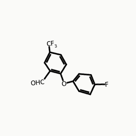 O=Cc1cc(C(F)(F)F)ccc1Oc1ccc(F)cc1